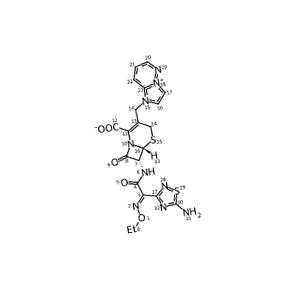 CCO/N=C(/C(=O)N[C@@H]1C(=O)N2C(C(=O)[O-])=C(Cn3cc[n+]4ncccc34)CS[C@H]12)c1nsc(N)n1